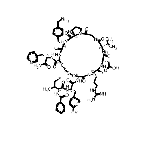 CC(C)[C@@H]1NC(=O)[C@H](CC(=O)O)NC(=O)[C@H](CCCNC(=N)N)NC(=O)[C@@H](NC(=O)[C@H](Cc2ccc(O)cc2)NC(=O)[C@H](NC(=O)c2ccccc2)C(C)CF)CSSC[C@@H](C(=O)N[C@@H](Cc2cccnc2)C(N)=O)NC(=O)[C@H](Cc2ccc(CN)cc2)NC(=O)[C@@H]2CCCN2C(=O)CNC1=O